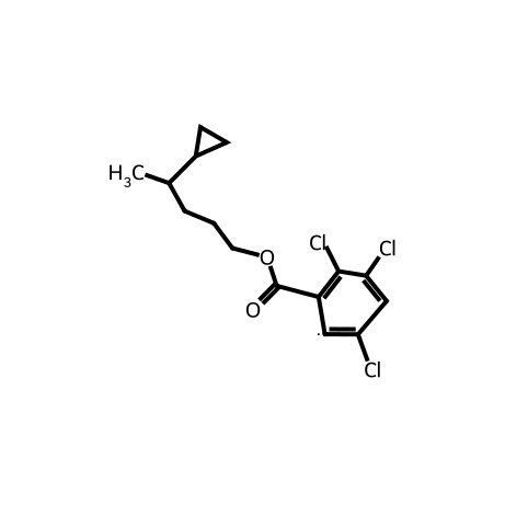 CC(CCCOC(=O)c1[c]c(Cl)cc(Cl)c1Cl)C1CC1